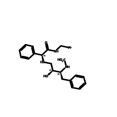 CC(C)CNC(=O)[C@@H](NC[C@H](O)[C@H](Cc1ccccc1)NC(=O)O)c1ccccc1